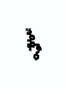 C=CC(=O)N1CCC[C@@H](Nc2nc(Nc3cnn(CCN4CCOCC4)c3)nc3[nH]ccc23)C1